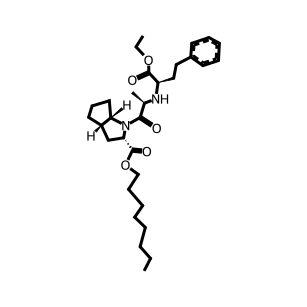 CCCCCCCCOC(=O)[C@@H]1C[C@@H]2CCC[C@@H]2N1C(=O)[C@@H](C)N[C@H](CCc1ccccc1)C(=O)OCC